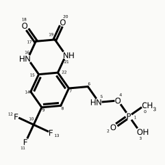 CP(=O)(O)ONCc1cc(C(F)(F)F)cc2[nH]c(=O)c(=O)[nH]c12